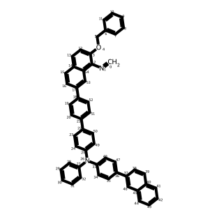 C=Nc1c(OCc2ccccc2)ccc2ccc(-c3ccc(-c4ccc(N(c5ccccc5)c5ccc(-c6ccc7ccccc7c6)cc5)cc4)cc3)cc12